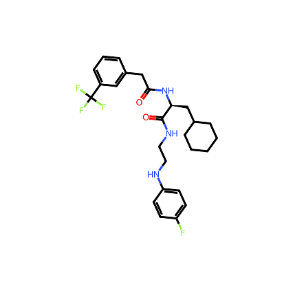 O=C(Cc1cccc(C(F)(F)F)c1)N[C@@H](CC1CCCCC1)C(=O)NCCNc1ccc(F)cc1